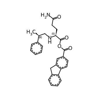 C[C@@H](CN[C@@H](CCC(N)=O)C(=O)OC(=O)c1ccc2c(c1)Cc1ccccc1-2)c1ccccc1